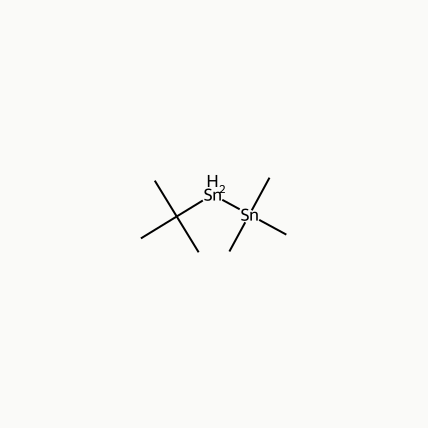 C[C](C)(C)[SnH2][Sn]([CH3])([CH3])[CH3]